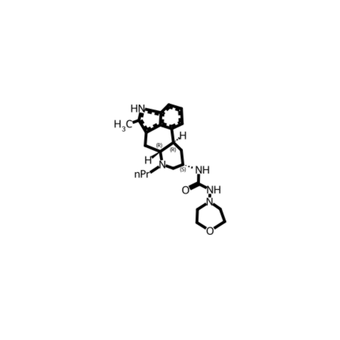 CCCN1C[C@@H](NC(=O)NN2CCOCC2)C[C@@H]2c3cccc4[nH]c(C)c(c34)C[C@H]21